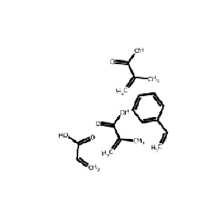 C=C(C)C(=O)O.C=C(C)C(=O)O.C=CC(=O)O.C=Cc1ccccc1